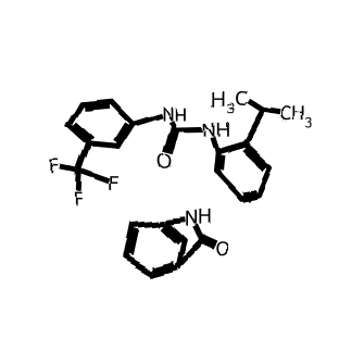 CC(C)c1ccccc1NC(=O)Nc1cccc(C(F)(F)F)c1.O=C1Nc2cccc1c2